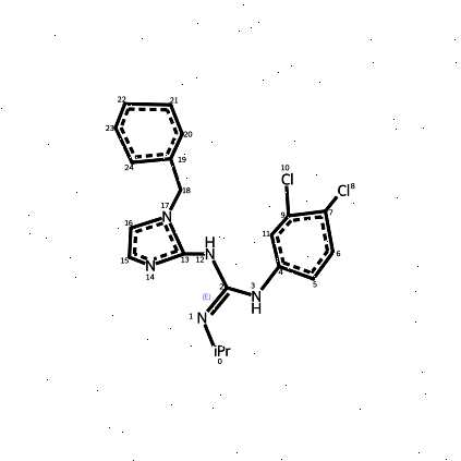 CC(C)/N=C(\Nc1ccc(Cl)c(Cl)c1)Nc1nccn1Cc1ccccc1